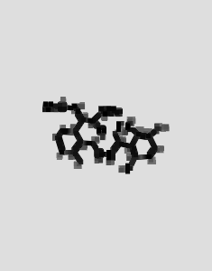 CNC(=O)/C(=N/OC)c1cccc(C)c1CO/N=C(\C)c1c(F)ccc(F)c1C(F)(F)F